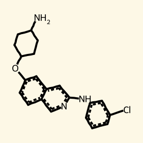 NC1CCC(Oc2ccc3cnc(Nc4cccc(Cl)c4)cc3c2)CC1